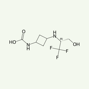 O=C(O)NC1CC(N[C@H](CO)C(F)(F)F)C1